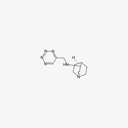 c1nnnnc1CN[C@@H]1CN2CCC1CC2